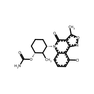 Cc1onc2c1c(=O)n([C@H]1CCC[C@@H](OC(N)=O)C1C)c1cccc(Cl)c21